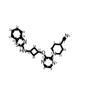 N#CC1CCN(c2nccnc2OC2CC(Nc3nc4ccccc4s3)C2)CC1